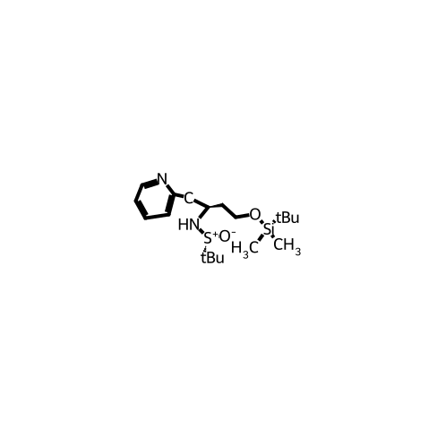 CC(C)(C)[S@@+]([O-])N[C@H](CCO[Si](C)(C)C(C)(C)C)Cc1ccccn1